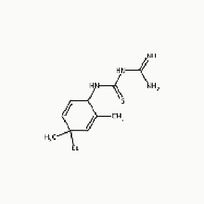 CCC1(C)C=CC(NC(=S)NC(=N)N)C(C)=C1